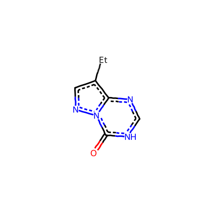 CCc1cnn2c(=O)[nH]cnc12